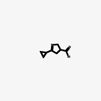 CCC(=O)C1CN=C(C2CC2)C1